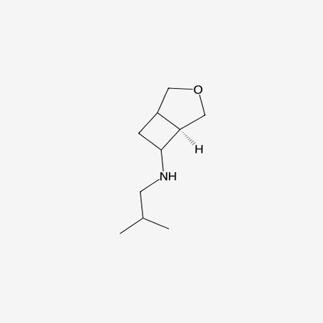 CC(C)CNC1CC2COC[C@H]21